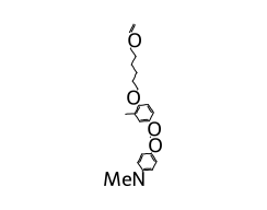 C=COCCCCCCOc1ccc(OCOc2ccc(NC)cc2)cc1C